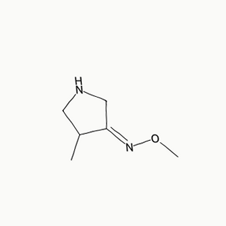 CO/N=C1\CNCC1C